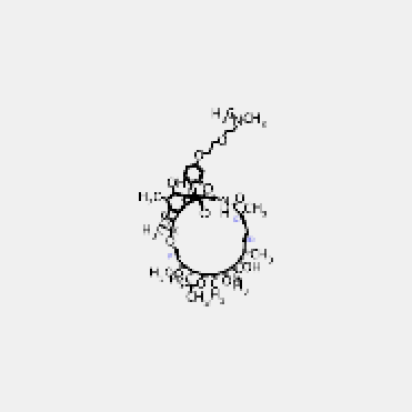 CO[C@H]1/C=C/O[C@@]2(C)Oc3c(C)c(O)c4c(=O)c(c5oc6cc(OCCOCCN(C)C)ccc6nc-5c4c3C2=O)NC(=O)/C(C)=C\C=C\[C@H](C)[C@H](O)[C@@H](C)[C@@H](O)[C@@H](C)[C@H](OC(C)=O)[C@@H]1C